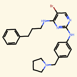 Brc1cnc(Nc2ccc(CN3CCCC3)cc2)nc1NCCCc1ccccc1